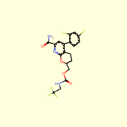 NC(=O)c1cc(-c2ccc(F)cc2F)c2c(n1)OC(COC(=O)NCC(F)(F)F)CC2